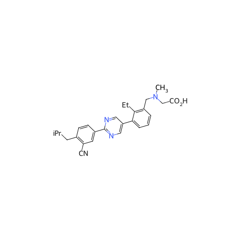 CCc1c(CN(C)CC(=O)O)cccc1-c1cnc(-c2ccc(CC(C)C)c(C#N)c2)nc1